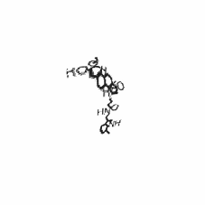 CCOc1cc2c(cc1O)CC[C@H]1[C@@H]3[C@@H](CCCC(=O)NCCc4c[nH]c5c(C)cccc45)CC(=O)[C@@]3(C)CC[C@H]21